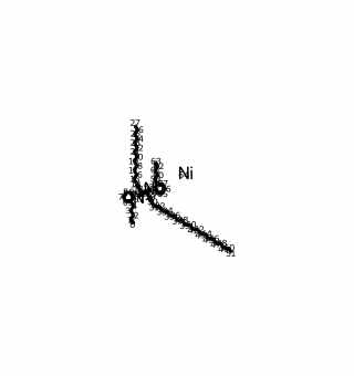 C=CCCCc1ccccc1/N=C(C#CCCCCCCCCCCCCC)/C(C#CCCCCCCCCCCCCCCCCCCCCC)=N/c1ccccc1CCCC=C.[Ni]